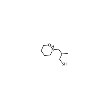 CC(CS)C[SiH]1CCCCO1